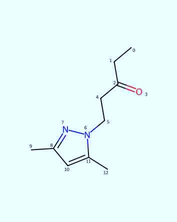 CCC(=O)CCn1nc(C)cc1C